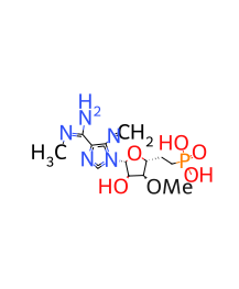 C=Nc1c(/C(N)=N\C)ncn1[C@@H]1O[C@H](CCP(=O)(O)O)[C@@H](OC)[C@H]1O